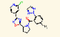 Cc1ccc(-n2nccn2)c(C(=O)N2CCCC2c2nc(-c3ccnc(Cl)c3)no2)c1